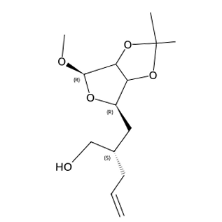 C=CC[C@H](CO)C[C@H]1O[C@@H](OC)C2OC(C)(C)OC21